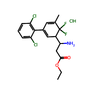 CCOC(=O)CC(N)C1C=C(c2c(Cl)cccc2Cl)C=C(C)C1(F)F.Cl